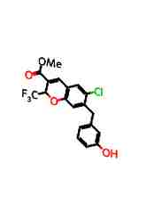 COC(=O)C1=Cc2cc(Cl)c(Cc3cccc(O)c3)cc2OC1C(F)(F)F